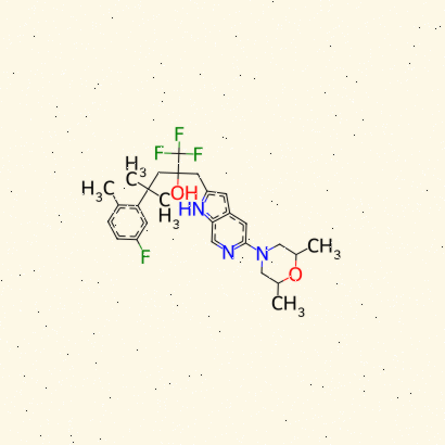 Cc1ccc(F)cc1C(C)(C)CC(O)(Cc1cc2cc(N3CC(C)OC(C)C3)ncc2[nH]1)C(F)(F)F